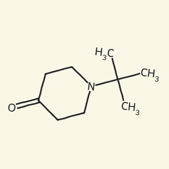 CC(C)(C)N1CCC(=O)CC1